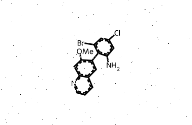 COc1cc2ncccc2cc1-c1c(N)cc(Cl)cc1Br